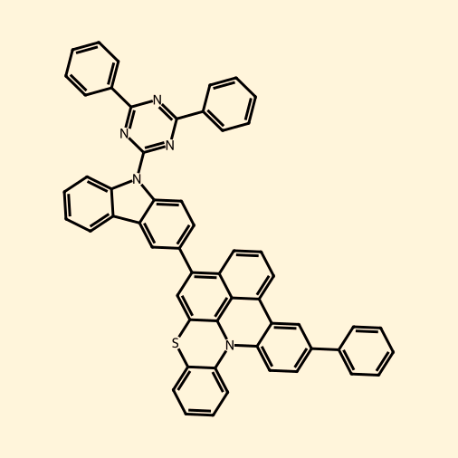 c1ccc(-c2ccc3c(c2)c2cccc4c(-c5ccc6c(c5)c5ccccc5n6-c5nc(-c6ccccc6)nc(-c6ccccc6)n5)cc5sc6ccccc6n3-c5c42)cc1